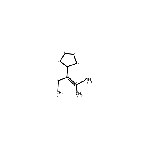 CCC(=C(C)[SiH3])C1CCCC1